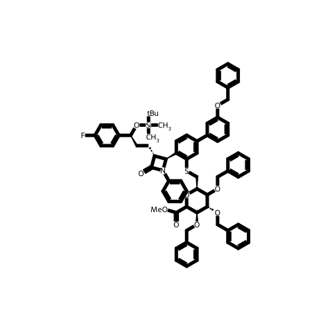 COC(=O)C1O[C@@H](CSc2cc(-c3cccc(OCc4ccccc4)c3)ccc2[C@@H]2[C@@H](CC[C@H](O[Si](C)(C)C(C)(C)C)c3ccc(F)cc3)C(=O)N2c2ccccc2)C(OCc2ccccc2)[C@H](OCc2ccccc2)[C@H]1OCc1ccccc1